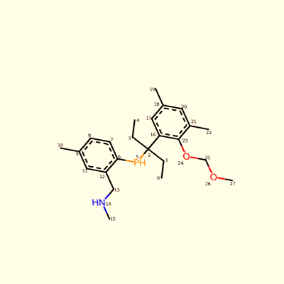 CCC(CC)(Pc1ccc(C)cc1CNC)c1cc(C)cc(C)c1OCOC